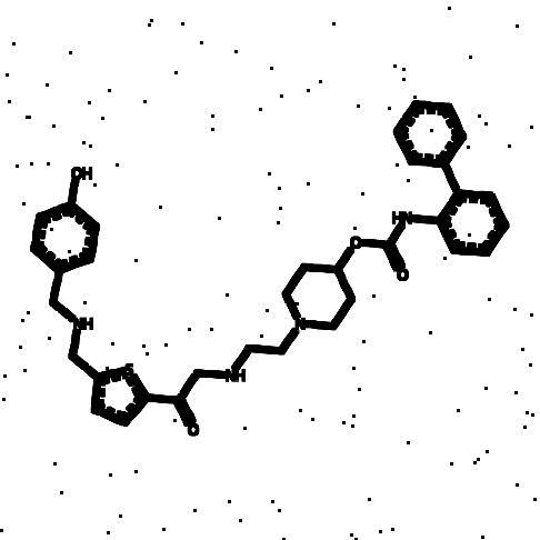 O=C(Nc1ccccc1-c1ccccc1)OC1CCN(CCNCC(=O)c2ccc(CNCc3ccc(O)cc3)s2)CC1